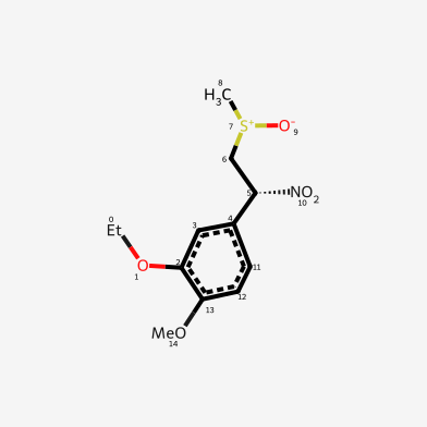 CCOc1cc([C@H](C[S+](C)[O-])[N+](=O)[O-])ccc1OC